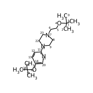 CC(C)(C)OCCN1CCN(c2ccc(OC(C)(C)C)cn2)CC1